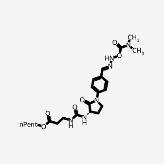 CCCCCOC(=O)CCNC(=O)N[C@H]1CCN(c2ccc(C=NNOC(=O)N(C)C)cc2)C1=O